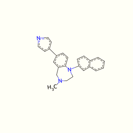 CN1CCN(c2ccc3ccccc3c2)c2ccc(-c3ccncc3)cc2C1